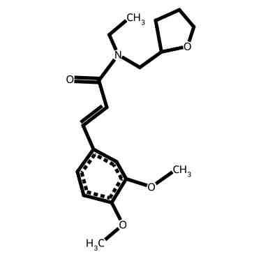 CCN(CC1CCCO1)C(=O)/C=C/c1ccc(OC)c(OC)c1